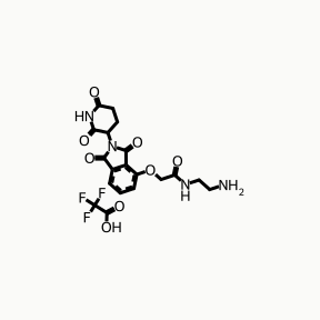 NCCNC(=O)COc1cccc2c1C(=O)N(C1CCC(=O)NC1=O)C2=O.O=C(O)C(F)(F)F